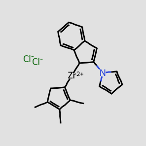 CC1=C(C)C(C)=[C]([Zr+2][CH]2C(n3cccc3)=Cc3ccccc32)C1.[Cl-].[Cl-]